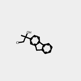 CC(O)(CCl)c1ccc2c(c1)Cc1ccccc1-2